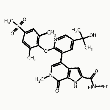 CCNC(=O)c1cc2c(-c3cc(C(C)(C)O)cnc3Oc3c(C)cc(S(C)(=O)=O)cc3C)cn(C)c(=O)c2[nH]1